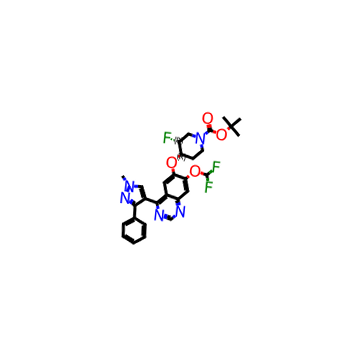 Cn1cc(-c2ncnc3cc(OC(F)F)c(O[C@@H]4CCN(C(=O)OC(C)(C)C)C[C@H]4F)cc23)c(-c2ccccc2)n1